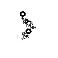 CS(=O)(=O)c1ccc(Nc2ncc3cn(Cc4ccccc4)nc3n2)cc1